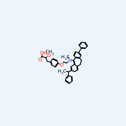 COC(Cc1ccc(OCCN(C)C2=C3C=C(C(C)c4ccccc4)CC=C3CCc3cc(-c4ccccc4)ccc32)cc1)C(=O)O